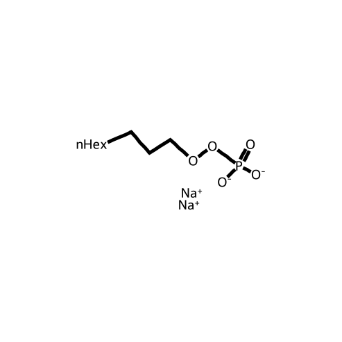 CCCCCCCCCOOP(=O)([O-])[O-].[Na+].[Na+]